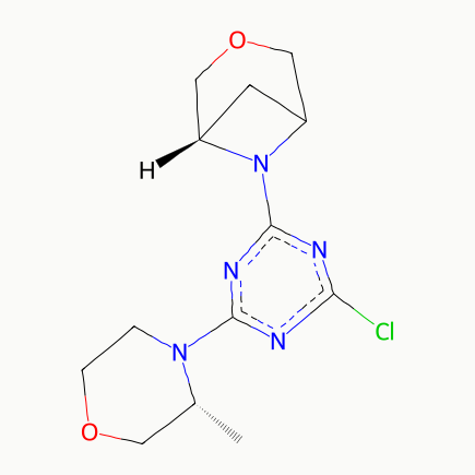 C[C@@H]1COCCN1c1nc(Cl)nc(N2C3COC[C@@H]2C3)n1